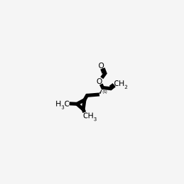 C=C[C@H](CCC1C(C)C1C)OC=O